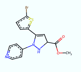 COC(=O)C1C=C(c2ccc(Br)s2)N(c2ccncc2)N1